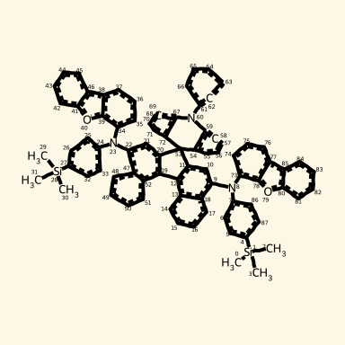 C[Si](C)(C)c1ccc(N(c2cc3c(c4ccccc24)-c2c(cc(N(c4ccc([Si](C)(C)C)cc4)c4cccc5c4oc4ccccc45)c4ccccc24)C32c3ccccc3N(c3ccccc3)c3ccccc32)c2cccc3c2oc2ccccc23)cc1